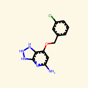 Nc1cc(OCc2cccc(Cl)c2)c2c(n1)NNN2